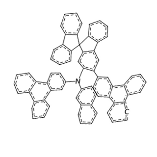 c1ccc2c(c1)-c1ccccc1C21c2ccccc2-c2cc(-c3ccc4c5ccccc5c5ccccc5c4c3)c(N(c3ccc4ccccc4c3)c3ccc4c5ccccc5c5ccccc5c4c3)cc21